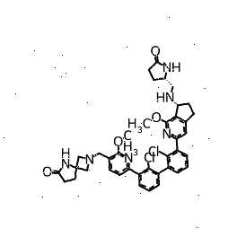 COc1nc(-c2cccc(-c3cccc(-c4cc5c(c(OC)n4)[C@H](NC[C@@H]4CCC(=O)N4)CC5)c3Cl)c2Cl)ccc1CN1CC2(CCC(=O)N2)C1